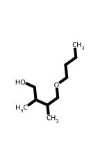 CCCCOCC(C)C(C)CO